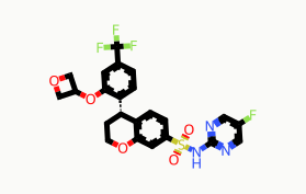 O=S(=O)(Nc1ncc(F)cn1)c1ccc2c(c1)OCC[C@@H]2c1ccc(C(F)(F)F)cc1OC1COC1